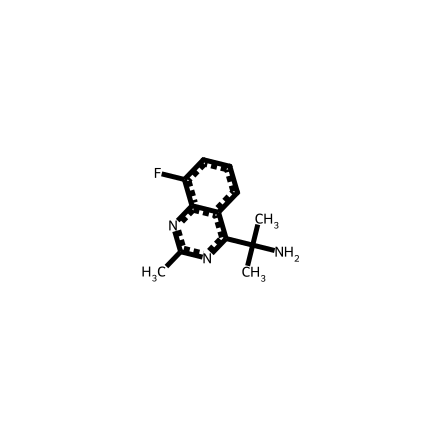 Cc1nc(C(C)(C)N)c2cccc(F)c2n1